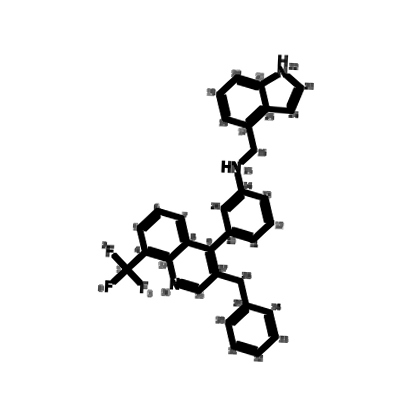 FC(F)(F)c1cccc2c(-c3cccc(NCc4cccc5[nH]ccc45)c3)c(Cc3ccccc3)cnc12